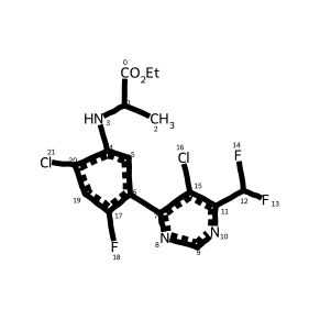 CCOC(=O)C(C)Nc1cc(-c2ncnc(C(F)F)c2Cl)c(F)cc1Cl